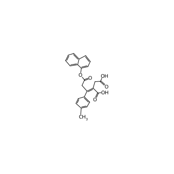 Cc1ccc(C(CC(=O)Oc2cccc3ccccc23)=C(CC(=O)O)C(=O)O)cc1